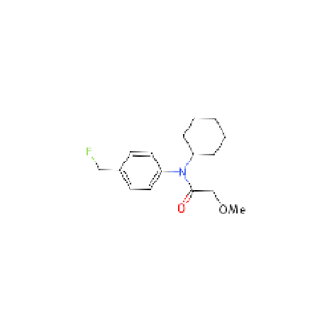 COCC(=O)N(c1ccc(CF)cc1)C1CCCCC1